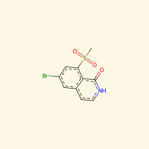 CS(=O)(=O)c1cc(Br)cc2cc[nH]c(=O)c12